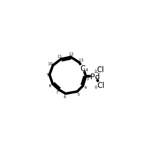 [Cl][Pd]([Cl])[C]1=CCCC=CCCC=CCC1